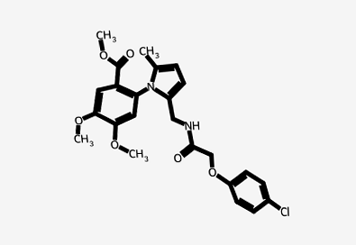 COC(=O)c1cc(OC)c(OC)cc1-n1c(C)ccc1CNC(=O)COc1ccc(Cl)cc1